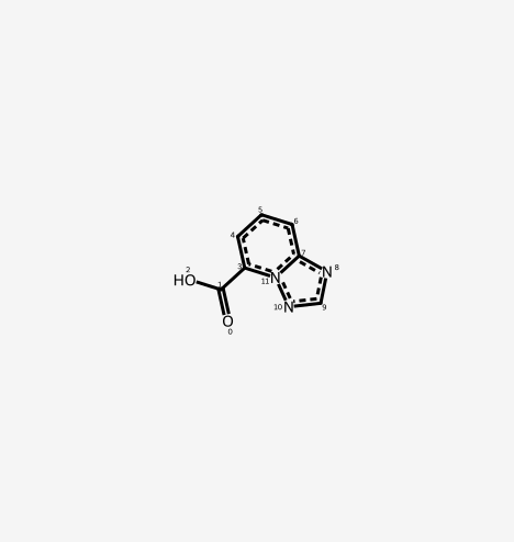 O=C(O)c1cccc2ncnn12